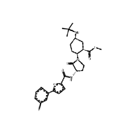 COC(=O)[C@@H]1C[C@H](NC(C)(C)C)CC[C@@H]1N1CC[C@H](NC(=O)c2ccc(-c3cccc(F)c3)o2)C1=O